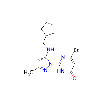 CCc1cc(=O)[nH]c(-n2nc(C)cc2NCC2CCCC2)n1